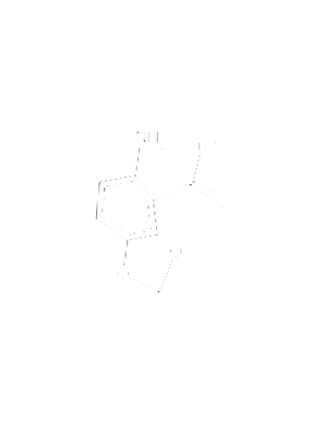 CCCC(=O)c1c(N)ccc2c1OCO2